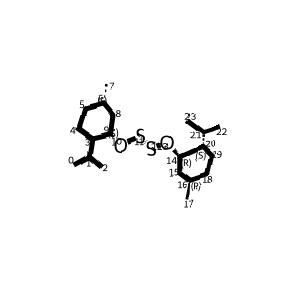 CC(C)C1CC[C@H](C)C[C@@H]1OSSO[C@@H]1C[C@H](C)CC[C@H]1C(C)C